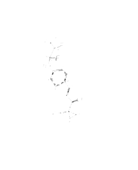 O=C(C=Cc1ccc(OC(F)(F)C(F)Cl)cc1)C1(Cl)CC1